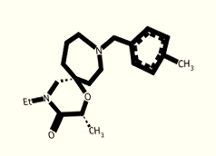 CCN1C[C@@]2(CCCN(Cc3ccc(C)cc3)CC2)O[C@H](C)C1=O